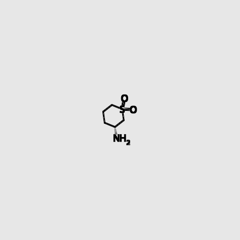 N[C@@H]1CCCS(=O)(=O)C1